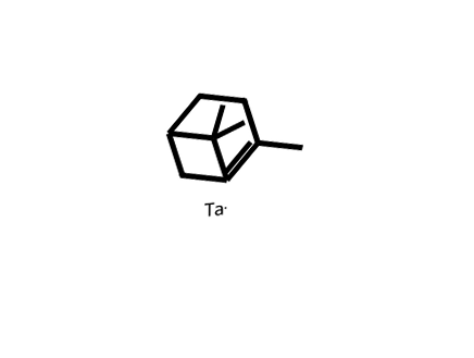 CC1=C2CC(CC1)C2(C)C.[Ta]